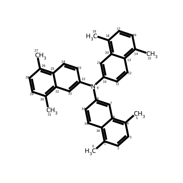 Cc1ccc(C)c2cc(N(c3ccc4c(C)ccc(C)c4c3)c3ccc4c(C)ccc(C)c4c3)ccc12